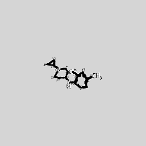 Cc1ccc(NC2CCN(C3CC3)CC2)c(Cl)c1